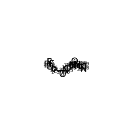 O=C(/C=C/c1ccc(OC(F)(F)F)cc1)N1CCC2CN(C(=O)N3CCc4ncccc4C3)CC2CC1